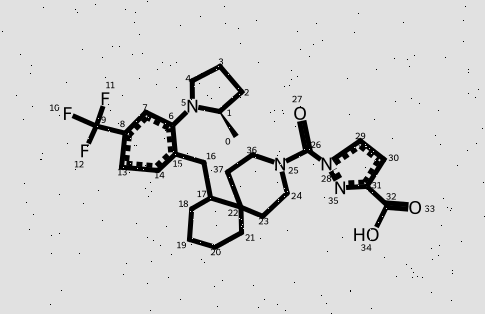 C[C@@H]1CCCN1c1cc(C(F)(F)F)ccc1CC1CCCCC12CCN(C(=O)n1ccc(C(=O)O)n1)CC2